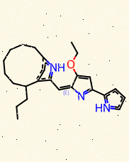 CCCC1CCCCCCc2cc1c(/C=C1/N=C(c3ccc[nH]3)C=C1OCC)[nH]2